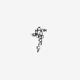 O=C(NO)C1CC(O)(c2ccccc2)CCN1S(=O)(=O)c1ccc(OCc2ccc(F)cc2)cc1